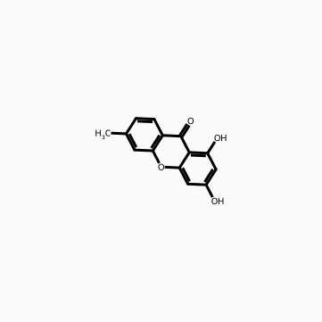 Cc1ccc2c(=O)c3c(O)cc(O)cc3oc2c1